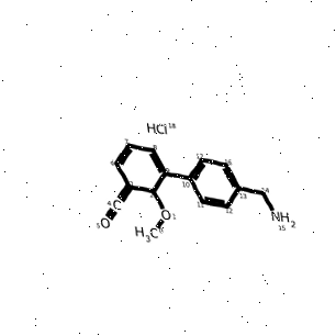 COC1C(=C=O)C=CC=C1c1ccc(CN)cc1.Cl